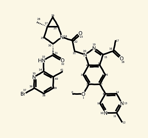 COc1cc2c(cc1-c1cnc(C)nc1)c(C(C)=O)nn2CC(=O)N1C2C[C@]2(C)C[C@H]1C(=O)Nc1nc(Br)ccc1C